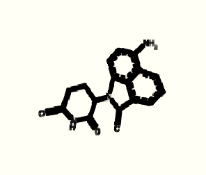 Nc1ccc2c3c(cccc13)C(=O)N2C1CCC(=O)NC1=O